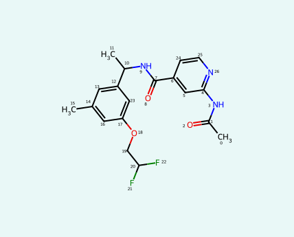 CC(=O)Nc1cc(C(=O)NC(C)c2cc(C)cc(OCC(F)F)c2)ccn1